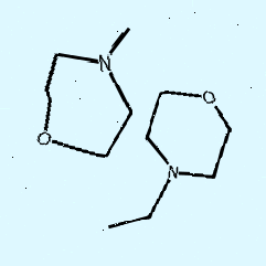 CCN1CCOCC1.CN1CCOCC1